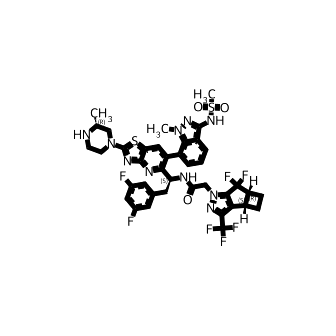 C[C@@H]1CN(c2nc3nc([C@H](Cc4cc(F)cc(F)c4)NC(=O)Cn4nc(C(F)(F)F)c5c4C(F)(F)[C@@H]4CC[C@H]54)c(-c4cccc5c(NS(C)(=O)=O)nn(C)c45)cc3s2)CCN1